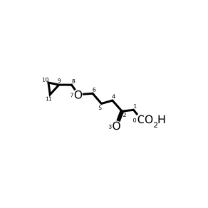 O=C(O)CC(=O)CCCOCC1CC1